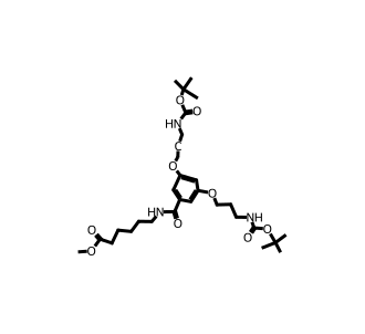 COC(=O)CCCCCNC(=O)c1cc(OCCCNC(=O)OC(C)(C)C)cc(OCCCNC(=O)OC(C)(C)C)c1